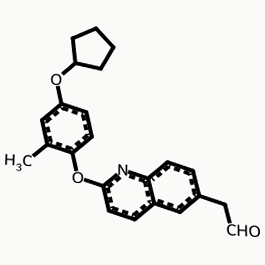 Cc1cc(OC2CCCC2)ccc1Oc1ccc2cc(CC=O)ccc2n1